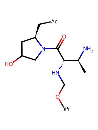 CC(=O)C[C@@H]1CC(O)CN1C(=O)[C@@H](NCOC(C)C)[C@H](C)N